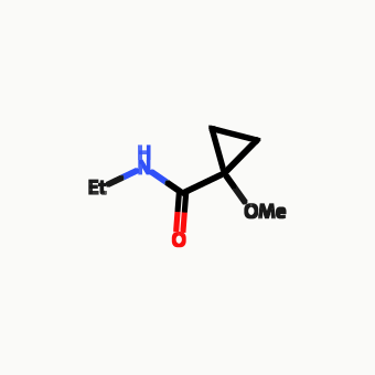 CCNC(=O)C1(OC)CC1